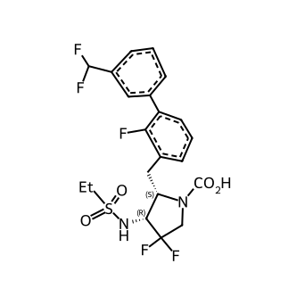 CCS(=O)(=O)N[C@@H]1[C@H](Cc2cccc(-c3cccc(C(F)F)c3)c2F)N(C(=O)O)CC1(F)F